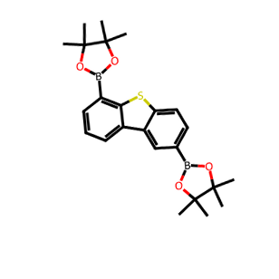 CC1(C)OB(c2ccc3sc4c(B5OC(C)(C)C(C)(C)O5)cccc4c3c2)OC1(C)C